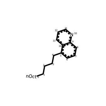 CCCCCCCCCCCCc1cccc2ncccc12